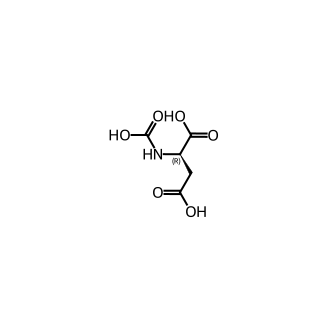 O=C(O)C[C@@H](NC(=O)O)C(=O)O